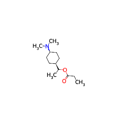 CCC(=O)OC(C)[C@H]1CC[C@@H](N(C)C)CC1